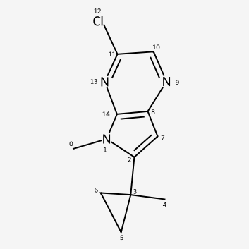 Cn1c(C2(C)CC2)cc2ncc(Cl)nc21